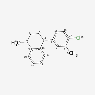 Cc1cc([C@H]2CC[C@@H](C)c3ccccc32)ccc1Cl